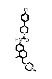 CC1=C(CN2CCN(C)CC2)CCc2cc(NC(=O)N3CCC(c4ccc(Cl)cc4)CC3)ccc21